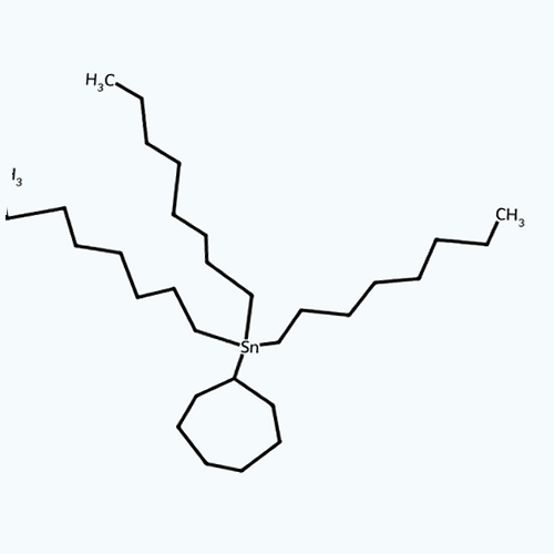 CCCCCCC[CH2][Sn]([CH2]CCCCCCC)([CH2]CCCCCCC)[CH]1CCCCCC1